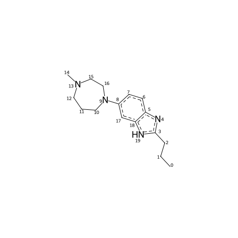 CCCc1nc2ccc(N3CCCN(C)CC3)cc2[nH]1